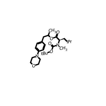 CC(C)C[C@H](C(=O)OC(C)Cc1ccc(N2CCOCC2)cc1)N(C)C(=O)OC(C)(C)C